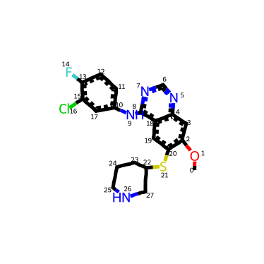 COc1cc2ncnc(Nc3ccc(F)c(Cl)c3)c2cc1SC1CCCNC1